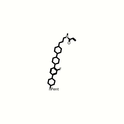 C=CC(=O)N(C)CCCC1CCC(C2CCC(c3ccc(C4CCC(CCCCC)CC4)cc3F)CC2)CC1